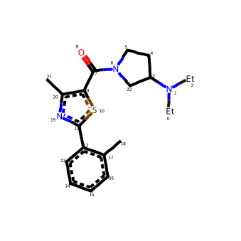 CCN(CC)C1CCN(C(=O)c2sc(-c3ccccc3C)nc2C)C1